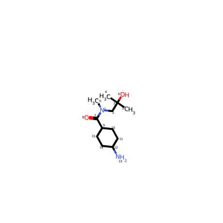 CN(CC(C)(C)O)C(=O)C1CCC(N)CC1